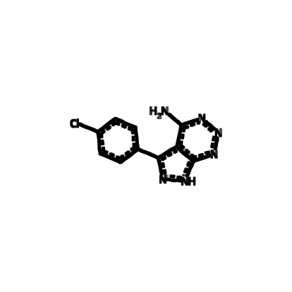 Nc1nnnc2[nH]nc(-c3ccc(Cl)cc3)c12